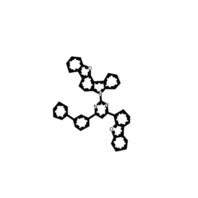 c1ccc(-c2cccc(-c3cc(-c4cccc5c4oc4ccccc45)nc(-n4c5ccccc5c5c6oc7ccccc7c6ccc54)n3)c2)cc1